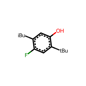 CCC(C)c1cc(O)c(C(C)(C)C)cc1F